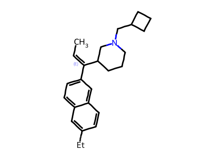 C/C=C(/c1ccc2cc(CC)ccc2c1)C1CCCN(CC2CCC2)C1